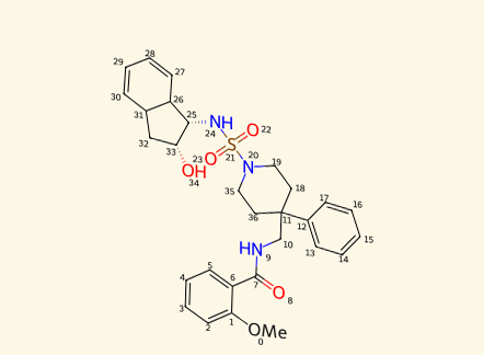 COc1ccccc1C(=O)NCC1(c2ccccc2)CCN(S(=O)(=O)N[C@H]2C3C=CC=CC3C[C@H]2O)CC1